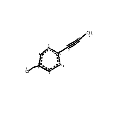 CC#Cc1ncc(Cl)cn1